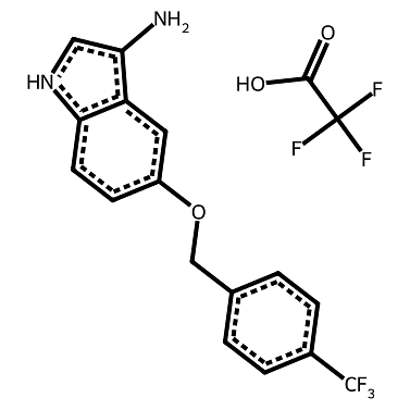 Nc1c[nH]c2ccc(OCc3ccc(C(F)(F)F)cc3)cc12.O=C(O)C(F)(F)F